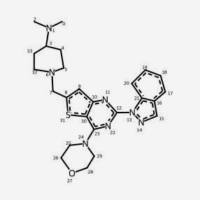 CN(C)C1CCN(Cc2cc3nc(-n4ncc5ccccc54)nc(N4CCOCC4)c3s2)CC1